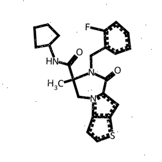 CC1(C(=O)NC2CCCC2)Cn2c(cc3sccc32)C(=O)N1Cc1ccccc1F